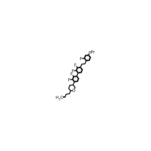 C=CCCC1CCC(c2ccc(-c3ccc(CCc4ccc(CCC)cc4F)c(F)c3F)c(F)c2F)CO1